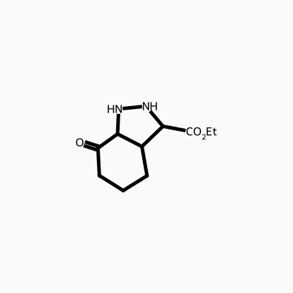 CCOC(=O)C1NNC2C(=O)CCCC21